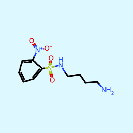 NCCCCNS(=O)(=O)c1ccccc1[N+](=O)[O-]